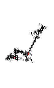 CC[C@]1(O)C(=O)OCc2c1cc1n(c2=O)CC2=C3c4c(cc(F)c(C)c4CCC3CNC(=O)C3(NC(=O)OCc4ccc(NC(=O)C(CCCNC(N)=O)NC(=O)[C@@H](NC(=O)CCOCCOCCOCCOCCC(=O)NCCN(CCNC(=O)c5ccc6nc(CBr)c(CBr)nc6c5)CCN(C)C)C(C)C)cc4)COC3)C3C(C)C213